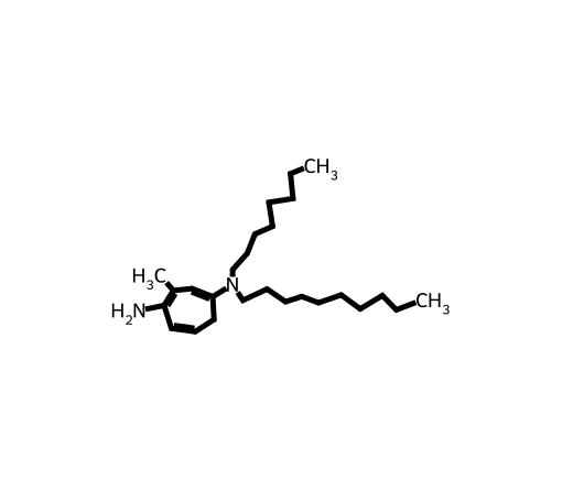 CCCCCCCCCCN(CCCCCCCC)C1=CC(C)=C(N)C=CC1